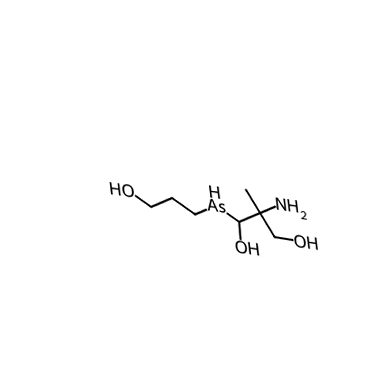 CC(N)(CO)C(O)[AsH]CCCO